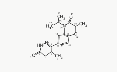 CC1CC(=O)NN=C1c1ccc2c(c1)N(C(C)C)C(=O)C(C)O2